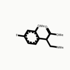 CNCC(C(=O)OC)c1ccc(F)cc1OC